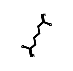 N=C(Cl)CCCCC(=N)Cl